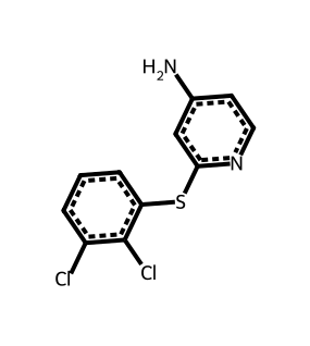 Nc1ccnc(Sc2cccc(Cl)c2Cl)c1